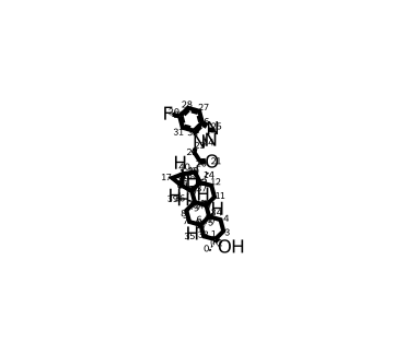 C[C@@]1(O)CC[C@H]2[C@H](CC[C@@H]3[C@@H]2CC[C@@]2(C)[C@H]3[C@@H]3C[C@@H]3[C@@H]2C(=O)Cn2nnc3ccc(F)cc32)C1